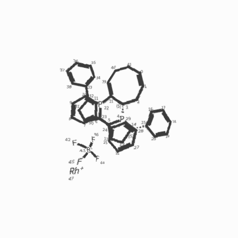 C1=CC[C@H](P2C(c3ccccc3)CC[C@H]2c2ccccc2)C(P2C(c3ccccc3)CCC2c2ccccc2)=CCC1.F[B-](F)(F)F.[Rh+]